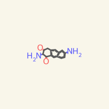 Nc1ccc2cc3c(cc2c1)CC(=O)C(N)C3=O